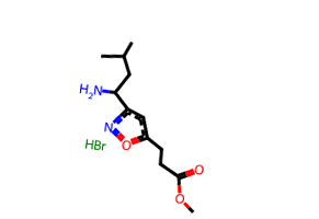 Br.COC(=O)CCc1cc(C(N)CC(C)C)no1